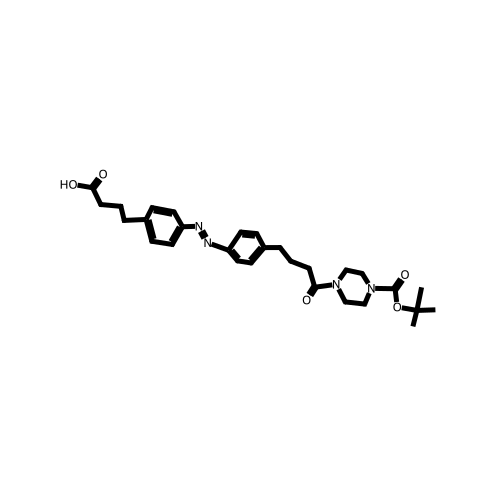 CC(C)(C)OC(=O)N1CCN(C(=O)CCCc2ccc(N=Nc3ccc(CCCC(=O)O)cc3)cc2)CC1